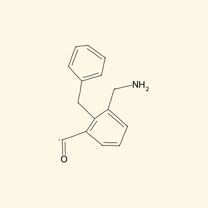 NCc1cccc([C]=O)c1Cc1ccccc1